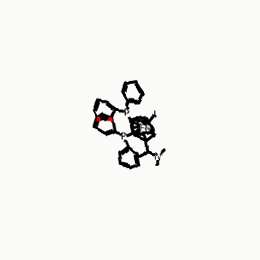 CC(N(C)C)[C]12[CH]3[C]4(I)[C]5(P(c6ccccc6)c6ccccc6)[C]1(P(c1ccccc1)c1ccccc1)[Fe]34251678[CH]2[CH]1[CH]6[CH]7[CH]28